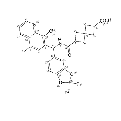 Cc1cc(C(NC(=O)C2CC3(CC(C(=O)O)C3)C2)c2ccc3c(c2)OC(F)(F)O3)c(O)c2ncccc12